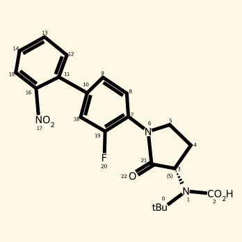 CC(C)(C)N(C(=O)O)[C@H]1CCN(c2ccc(-c3ccccc3[N+](=O)[O-])cc2F)C1=O